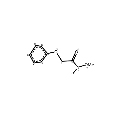 CON(C)C(=O)COc1ccccc1